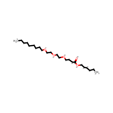 CCCCCCCCCOCCOCCOCCCC(=O)OCCCCCC